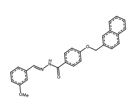 COc1cccc(/C=N/NC(=O)c2ccc(OCc3ccc4ccccc4c3)cc2)c1